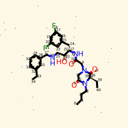 CCCCN1C(=O)CN(CC(=O)N[C@@H](Cc2cc(F)cc(F)c2)[C@H](O)CNCc2cccc(CC)c2)C(=O)[C@H]1CC